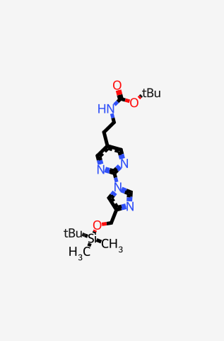 CC(C)(C)OC(=O)NCCc1cnc(-n2cnc(CO[Si](C)(C)C(C)(C)C)c2)nc1